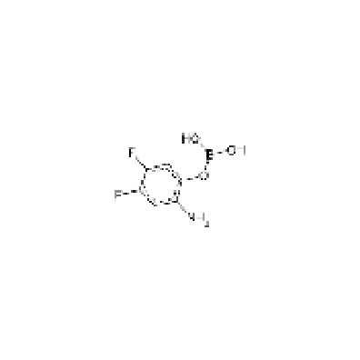 Nc1cc(F)c(F)cc1OB(O)O